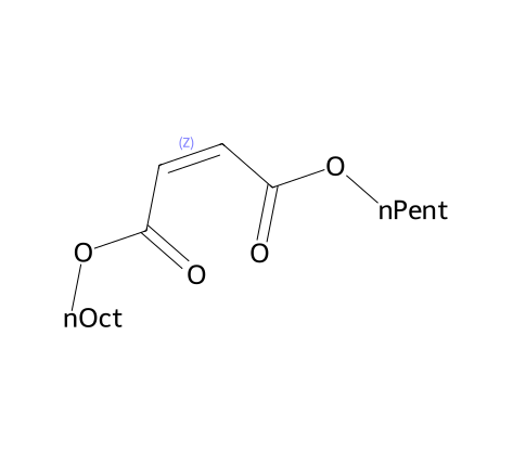 CCCCCCCCOC(=O)/C=C\C(=O)OCCCCC